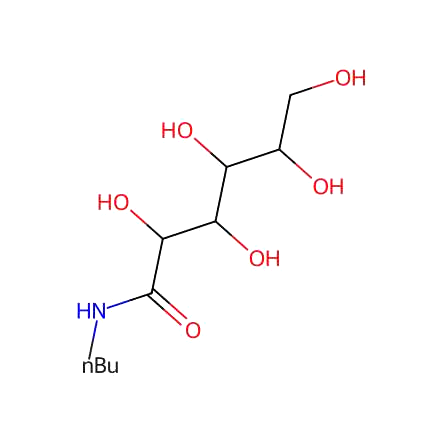 CCCCNC(=O)C(O)C(O)C(O)C(O)CO